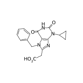 O=C(O)Cc1nc2c(c(=O)[nH]c(=O)n2C2CC2)n1Cc1ccccc1